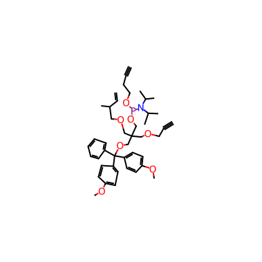 C#CCCOP(OCC(COCC#C)(COCC(C)C=C)COC(c1ccccc1)(c1ccc(OC)cc1)c1ccc(OC)cc1)N(C(C)C)C(C)C